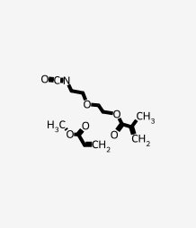 C=C(C)C(=O)OCCOCCN=C=O.C=CC(=O)OC